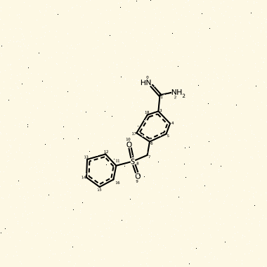 N=C(N)c1ccc(CS(=O)(=O)c2ccccc2)cc1